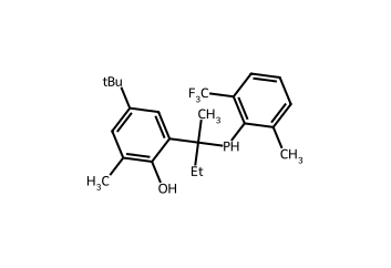 CCC(C)(Pc1c(C)cccc1C(F)(F)F)c1cc(C(C)(C)C)cc(C)c1O